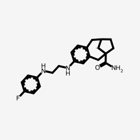 NC(=O)C12[CH]C(CC1)Cc1ccc(NCCNc3ccc(F)cc3)cc1C2